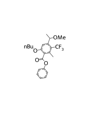 CCCCOc1cc(C(C)OC)c(C(F)(F)F)c(C)c1C(=O)Oc1ccccc1